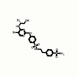 CC[C@H](CO)Nc1nc(Nc2ccc(S(=O)(=O)NCCc3ccc(S(N)(=O)=O)cc3)cc2)ncc1Br